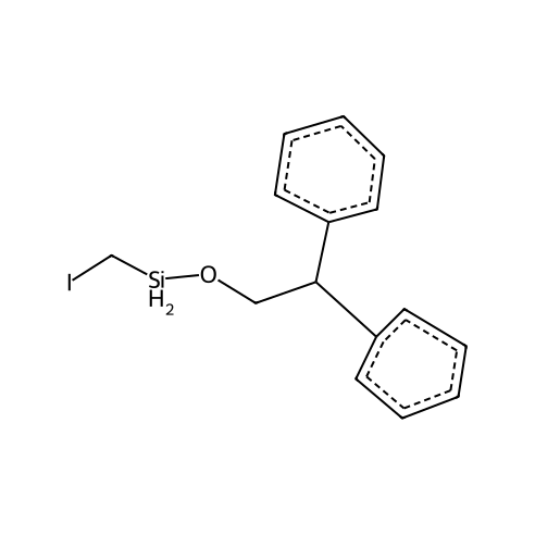 IC[SiH2]OCC(c1ccccc1)c1ccccc1